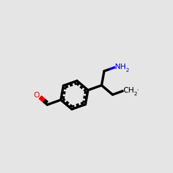 [CH2]CC(CN)c1ccc(C=O)cc1